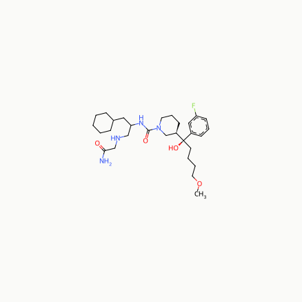 COCCCC[C@@](O)(c1cccc(F)c1)[C@@H]1CCCN(C(=O)NC(CNCC(N)=O)CC2CCCCC2)C1